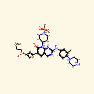 COCC[S+]([O-])c1csc(-c2cc3cnc(Nc4ccc(N5CCNCC5)c(C)c4)nc3n(C3CCN(S(C)(=O)=O)CC3)c2=O)c1